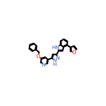 c1ccc(COc2cncc(-c3cc(-c4cc5c(-c6ccoc6)cccc5[nH]4)n[nH]3)c2)cc1